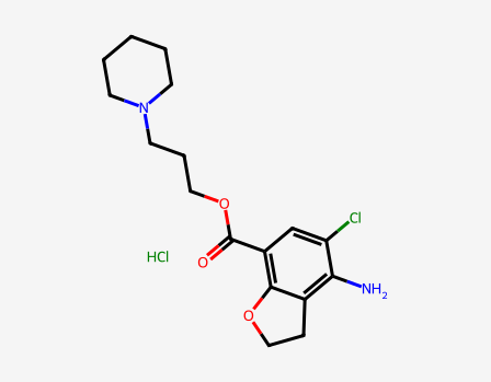 Cl.Nc1c(Cl)cc(C(=O)OCCCN2CCCCC2)c2c1CCO2